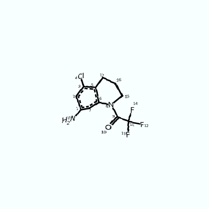 Nc1cc(Cl)c2c(c1)N(C(=O)C(F)(F)F)CCC2